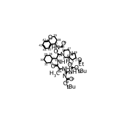 CCO[C@@H]1C[C@@H]2CN(C(=O)[C@@H](NC(=O)[C@H](C)NC(=NC(=O)OC(C)(C)C)NC(=O)OC(C)(C)C)C3CCCCC3)[C@H](C(=O)N[C@@H]3CCOc4ccccc43)CN2C1